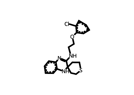 Clc1ccccc1OCCNC1=Nc2ccccc2NC12CCSCC2